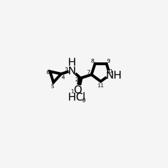 Cl.O=C(NC1CC1)C1CCNC1